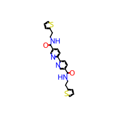 O=C(NCCc1cccs1)c1ccc(-c2ccc(C(=O)NCCc3cccs3)cn2)nc1